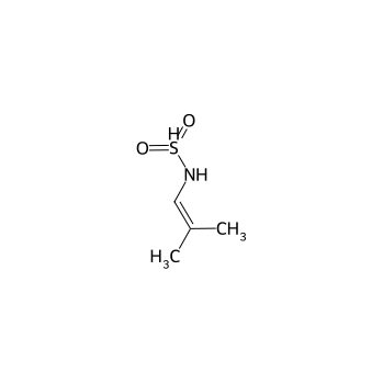 CC(C)=CN[SH](=O)=O